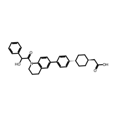 O=C(O)C[C@H]1CC[C@H](c2ccc(-c3ccc4c(c3)CCCN4C(=O)C(O)c3ccccc3)cc2)CC1